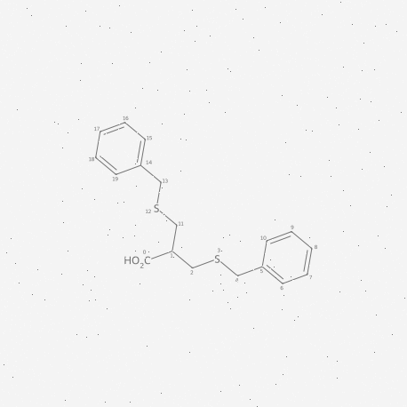 O=C(O)C(CSCc1ccccc1)CSCc1ccccc1